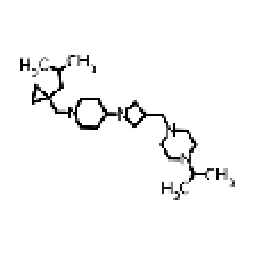 CC(C)CC1(CN2CCC(N3CC(CN4CCN(C(C)C)CC4)C3)CC2)CC1